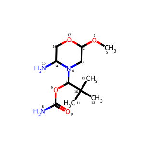 COC1CN(C(OC(N)=O)C(C)(C)C)C(N)CO1